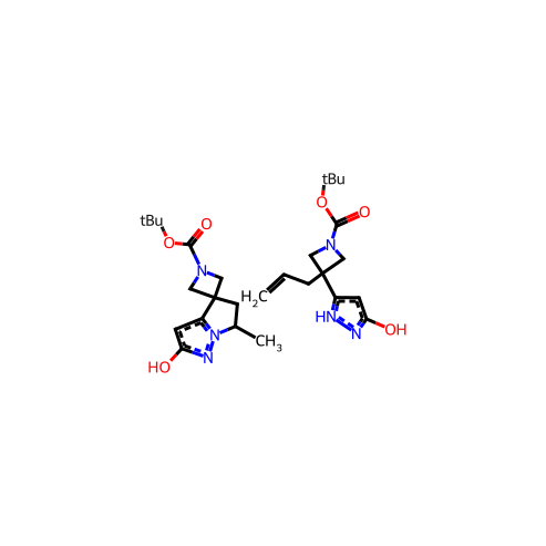 C=CCC1(c2cc(O)n[nH]2)CN(C(=O)OC(C)(C)C)C1.CC1CC2(CN(C(=O)OC(C)(C)C)C2)c2cc(O)nn21